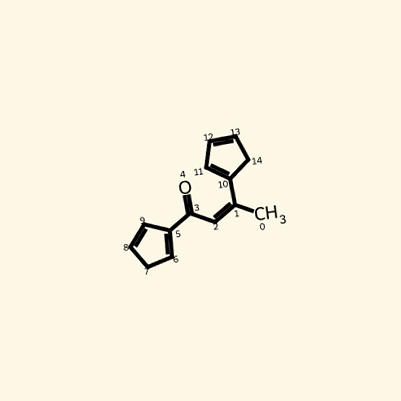 C/C(=C/C(=O)C1=CCC=C1)C1=CC=CC1